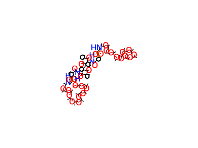 COCCOCC(C)OCC(C)OCC(C)OCC(C)OCC(C)OCC(C)OCC(C)OCC(C)OCC(C)NCCS(=O)(=O)c1cccc(C(=O)Nc2ccc(-c3ccc(NC(=O)c4cccc(S(=O)(=O)CCNC(C)COC(C)COC(C)COC(C)COC(C)COC(C)COC(C)COC(C)COC(C)COCCOC)c4)c4c3C(=O)c3ccccc3C4=O)c3c2C(=O)c2ccccc2C3=O)c1